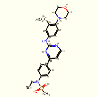 CS(=O)(=O)N(CC#N)c1ccc(-c2ccnc(Nc3ccc(N4CCOCC4)c(C(=O)O)c3)n2)cc1